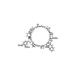 CCCC[C@H]1C(=O)N[C@@H](Cc2ccc3ccccc3c2)C(=O)N(C)[C@@H](COC(C)(C)C)C(=O)NCC(=O)N(C)CC/C=C/C(=O)OCC(C)(C)C(=O)C(=O)N2CCCC[C@H]2C(=O)O[C@H](CCc2ccc(OC)c(OC)c2)c2cccc(c2F)OCC(=O)N1C